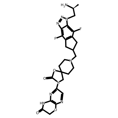 C[C@H](N)Cn1nnc2c(F)c3c(c(F)c21)CC(CN1CCC2(CC1)CN(c1cnc4c(n1)NC(=O)CO4)C(=O)O2)C3